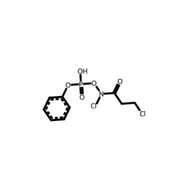 O=C(CCCl)N(Cl)OP(=O)(O)Oc1ccccc1